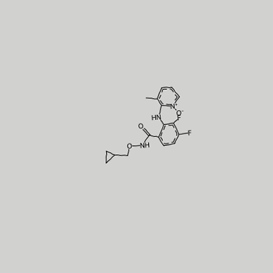 Cc1ccc[n+]([O-])c1Nc1c(C(=O)NOCC2CC2)ccc(F)c1F